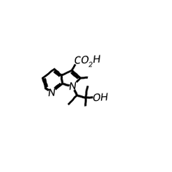 Cc1c(C(=O)O)c2cccnc2n1C(C)C(C)(C)O